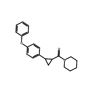 O=C(C1CC1c1ccc(Oc2ccccc2)nc1)N1CCCCC1